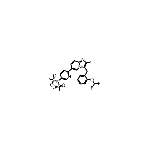 Cc1nc2ccc(-c3ccc(N(S(C)(=O)=O)S(C)(=O)=O)cn3)cn2c1Cc1ccccc1OC(F)F